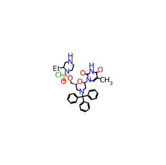 CCC1CNCCN1P(=O)(Cl)OC[C@@H]1CN(C(c2ccccc2)(c2ccccc2)c2ccccc2)C[C@H](n2cc(C)c(=O)[nH]c2=O)O1